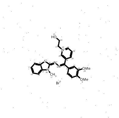 COc1ccc(C(=NN=c2sc3ccccc3n2C)c2ccc[n+](CCO)c2)cc1OC.[Br-]